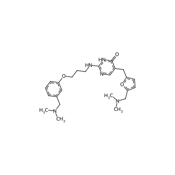 CN(C)Cc1cccc(OCCCNc2ncc(Cc3ccc(CN(C)C)o3)c(=O)[nH]2)c1